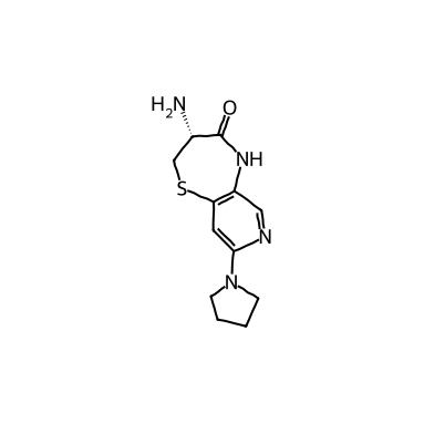 N[C@H]1CSc2cc(N3CCCC3)ncc2NC1=O